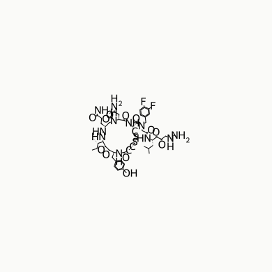 CC[C@H](C)C1NN[C@@H](CCC(N)=O)C(=O)N[C@@H](CC(N)=O)C(=O)N[C@H](C(=O)N(CC(=O)N[C@@H](CC(C)C)C(=O)C(=O)CNN)Cc2ccc(F)c(F)c2)CSSCCC(=O)N[C@@H](Cc2ccc(O)cc2)C(=O)C1=O